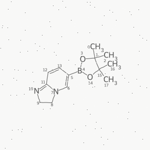 CC1(C)OB(C2=CN3CCN=C3C=C2)OC1(C)C